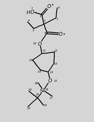 CCC(CC)(C(=O)O)C(=O)OC1CCC(O[Si](C)(C)C(C)(C)C)CC1